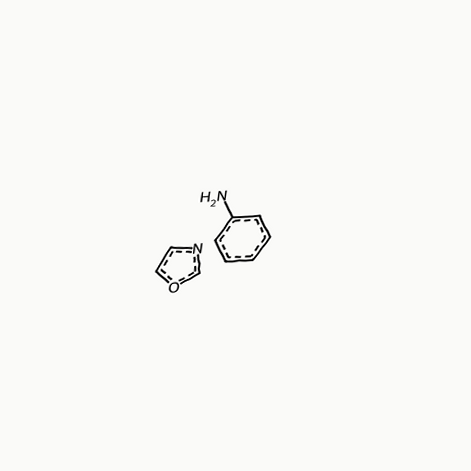 Nc1ccccc1.c1cocn1